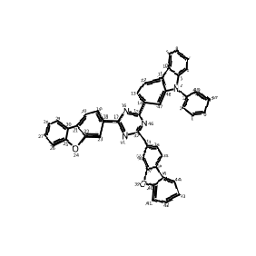 c1ccc(-n2c3ccccc3c3ccc(-c4nc(-c5ccc6c(c5)oc5ccccc56)nc(-c5ccc6c(c5)oc5ccccc56)n4)cc32)cc1